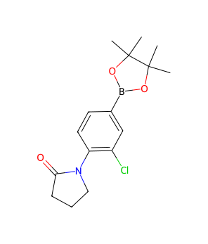 CC1(C)OB(c2ccc(N3CCCC3=O)c(Cl)c2)OC1(C)C